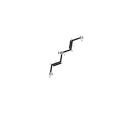 CC/C=C/N/C=C/CC